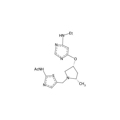 CCNc1cc(O[C@@H]2C[C@H](C)N(Cc3cnc(NC(C)=O)s3)C2)ncn1